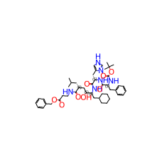 CC(C)C[C@H](C[C@H](O)[C@H](CC1CCCCC1)NC(=O)[C@H](Cc1c[nH]cn1)NC(=O)[C@H](Cc1ccccc1)NC(=O)OC(C)(C)C)C(=O)NCCC(=O)OCc1ccccc1